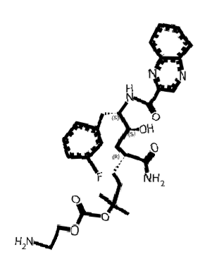 CC(C)(CC[C@H](C[C@H](O)[C@H](Cc1cccc(F)c1)NC(=O)c1cnc2ccccc2n1)C(N)=O)OC(=O)OCCN